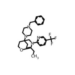 CCC1=C2CC(N3CCN(Cc4ccccc4)CC3)(CCO2)CN1c1ccc(C(F)(F)F)cn1